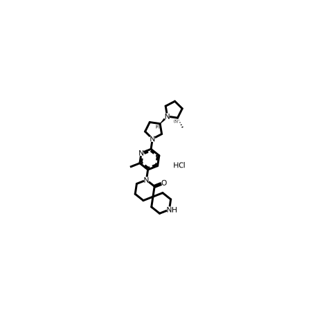 Cc1nc(N2CC[C@@H](N3CCC[C@@H]3C)C2)ccc1N1CCCC2(CCNCC2)C1=O.Cl